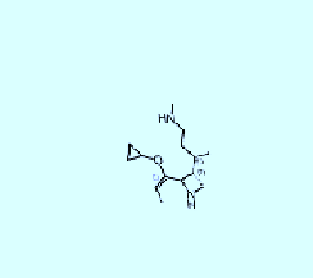 C/C=C(/OC1CC1)C1NC[C@H]1[C@H](C)CCNC